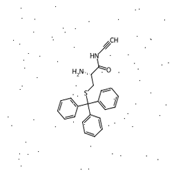 C#CNC(=O)[C@@H](N)CSC(c1ccccc1)(c1ccccc1)c1ccccc1